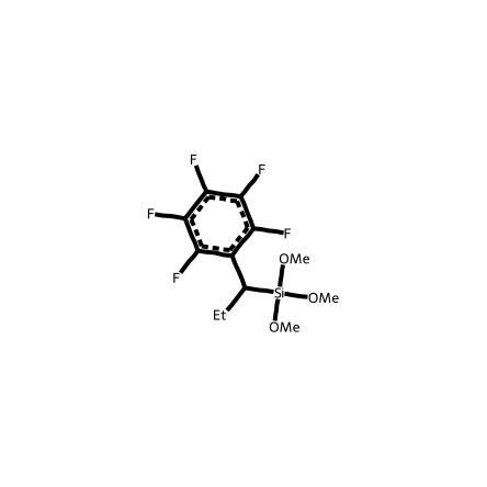 CCC(c1c(F)c(F)c(F)c(F)c1F)[Si](OC)(OC)OC